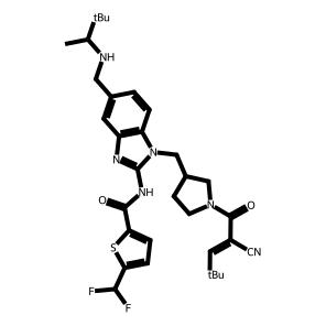 CC(NCc1ccc2c(c1)nc(NC(=O)c1ccc(C(F)F)s1)n2CC1CCN(C(=O)C(C#N)=CC(C)(C)C)C1)C(C)(C)C